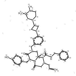 C=CCN1CC(=O)N2[C@@H](Cc3ccc(O)cc3)C(=O)N(Cc3cccc(N4CC(N5CCN(C)[C@H](C)C5)C4)n3)C[C@@H]2N1C(=O)NCc1ccccc1